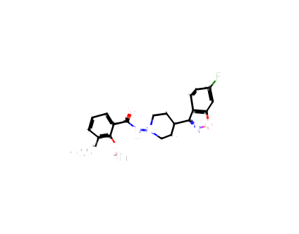 CCCOc1c(OC)cccc1C(=O)NN1CCC(c2noc3cc(F)ccc23)CC1